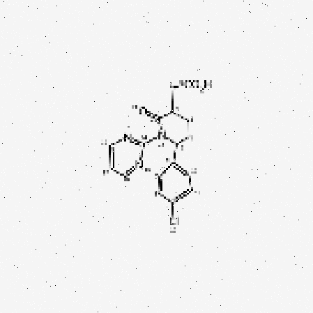 O=C(O)CC1CCC(c2ccc(Cl)cc2)N(c2ncccn2)C1=O